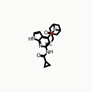 N#CCC(=O)N1C2CC1CN(c1cc(NC(=O)C3CC3)nc3[nH]ccc13)C2